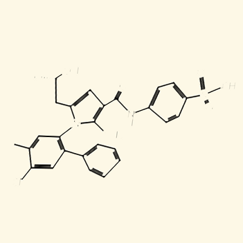 Cc1c(C(=O)Nc2ccc(S(C)(=O)=O)cc2)cc(C[C@H](C)O)n1-c1cc(F)c(Cl)cc1-c1ccccc1